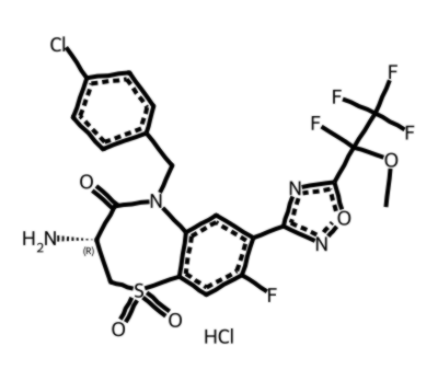 COC(F)(c1nc(-c2cc3c(cc2F)S(=O)(=O)C[C@H](N)C(=O)N3Cc2ccc(Cl)cc2)no1)C(F)(F)F.Cl